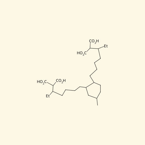 CCC(CCCCC1CCC(C)CC1CCCCC(CC)C(C(=O)O)C(=O)O)C(C(=O)O)C(=O)O